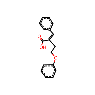 O=C(O)C(=Cc1ccccc1)CCOc1ccccc1